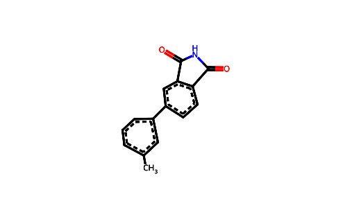 Cc1cccc(-c2ccc3c(c2)C(=O)NC3=O)c1